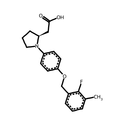 Cc1cccc(COc2ccc(N3CCC[C@H]3CC(=O)O)cc2)c1F